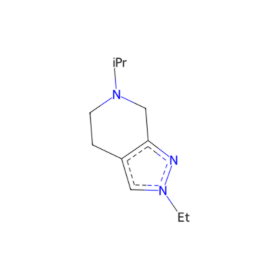 CCn1cc2c(n1)CN(C(C)C)CC2